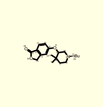 CC[C@H](C)N1CCC(C)(C)C(Oc2ccc3c(c2)COC3=O)C1